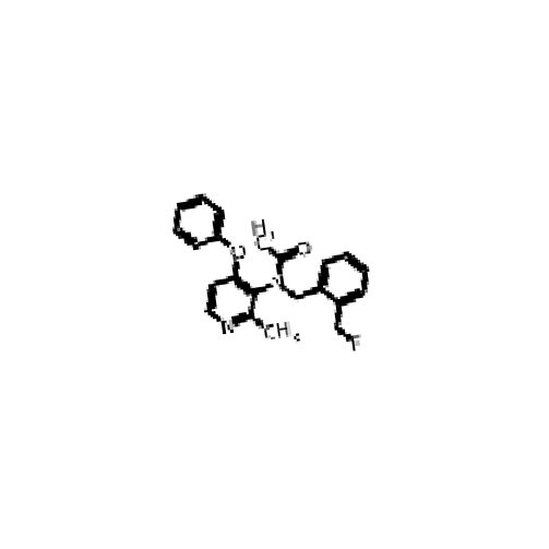 CC(=O)N(Cc1ccccc1CF)c1c(Oc2ccccc2)ccnc1C